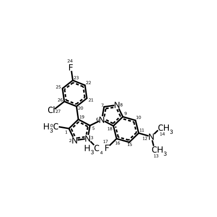 Cc1nn(C)c(-n2cnc3cc(N(C)C)cc(F)c32)c1-c1ccc(F)cc1Cl